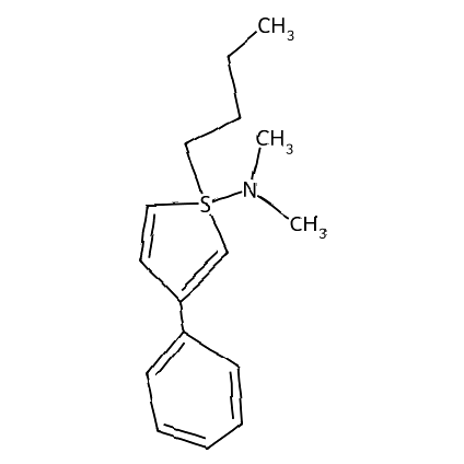 CCCCS1(N(C)C)C=CC(c2ccccc2)=C1